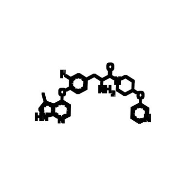 Cc1c[nH]c2nccc(Oc3ccc(CC(N)C(=O)N4CCC(Oc5cccnc5)CC4)cc3F)c12